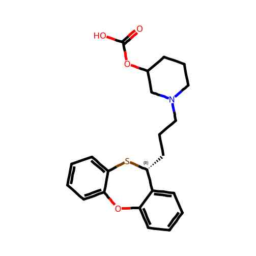 O=C(O)OC1CCCN(CCC[C@H]2Sc3ccccc3Oc3ccccc32)C1